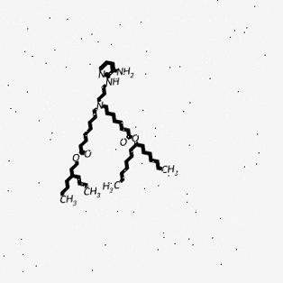 CCCCCCCC(CCCCCCC)OC(=O)CCCCCCCN(CCCCCCCC(=O)OCCC(CCCC)CCCC)CCCNc1ncccc1N